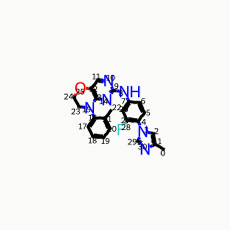 Cc1cn(-c2ccc(Nc3ncc4c(n3)N(c3ccccc3C)CCO4)cc2F)cn1